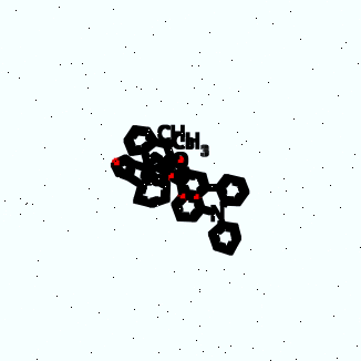 CC1(C)c2ccccc2C2(c3ccccc3-c3ccccc32)c2cc(-c3cccc(N(c4ccccc4)c4ccccc4-c4ccc5c(c4)oc4ccccc45)c3)ccc21